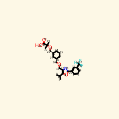 CC(C)c1oc(-c2cccc(C(F)(F)F)c2)nc1COC[C@@H]1CCC[C@H](COC(C)(C)C(=O)O)C1